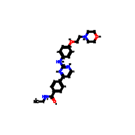 N#CCNC(=O)c1ccc(-c2ccnc(Nc3ccc(OCCN4CCOCC4)cc3)n2)cc1